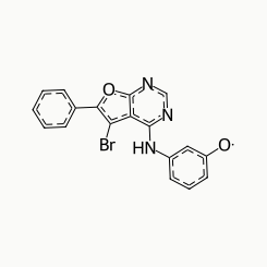 [O]c1cccc(Nc2ncnc3oc(-c4ccccc4)c(Br)c23)c1